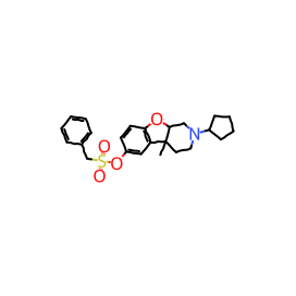 CC12CCN(C3CCCC3)CC1Oc1ccc(OS(=O)(=O)Cc3ccccc3)cc12